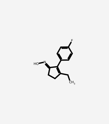 CCC1=C(c2ccc(F)cc2)/C(=N/O)CC1